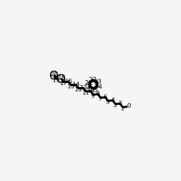 CCCCCCCCCCCCCCCCCCOC=O.c1ccccc1